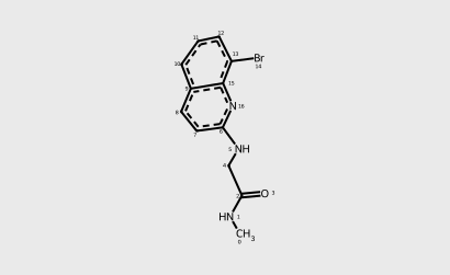 CNC(=O)CNc1ccc2cccc(Br)c2n1